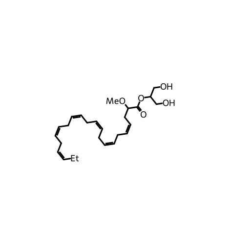 CC/C=C\C/C=C\C/C=C\C/C=C\C/C=C\C/C=C\CC(OC)C(=O)OC(CO)CO